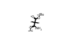 CC(=O)N=C(N)C(C)(C)C(=O)OC(C)(C)C